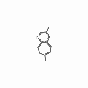 CC1=CC=c2cc(C)cnc2=CC1